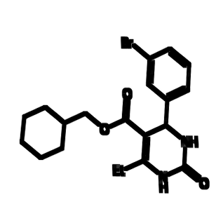 CCC1=C(C(=O)OCC2CCCCC2)C(c2cccc(Br)c2)NC(=O)N1